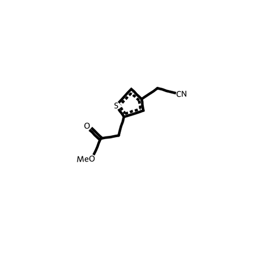 COC(=O)Cc1cc(CC#N)cs1